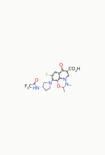 CC1Oc2c(N3CC[C@H](NC(=O)C(F)(F)F)C3)c(F)cc3c(=O)c(C(=O)O)cn(c23)N1C